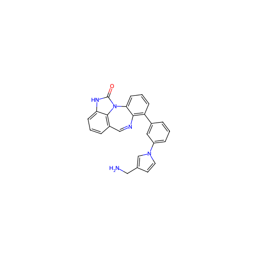 NCc1ccn(-c2cccc(-c3cccc4c3N=Cc3cccc5[nH]c(=O)n-4c35)c2)c1